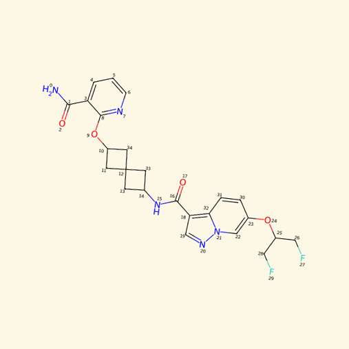 NC(=O)c1cccnc1OC1CC2(CC(NC(=O)c3cnn4cc(OC(CF)CF)ccc34)C2)C1